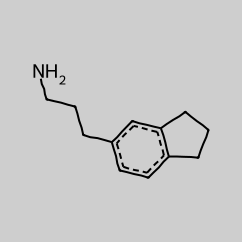 NCCCc1ccc2c(c1)CCC2